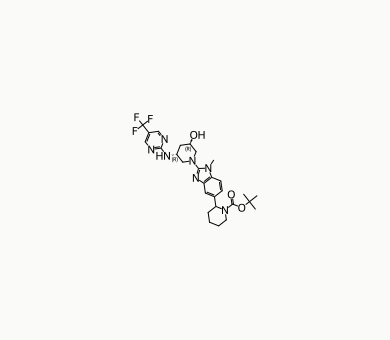 Cn1c(N2C[C@H](O)C[C@@H](Nc3ncc(C(F)(F)F)cn3)C2)nc2cc(C3CCCCN3C(=O)OC(C)(C)C)ccc21